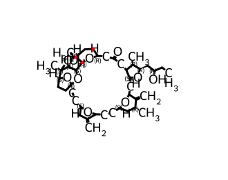 C=C1C[C@@H]2CC[C@]34CC[C@H](O3)[C@]3(C)O[C@H]5CC[C@H](CC(=O)CC6[C@H](CC7O[C@@H](CCC1O2)C[C@@H](C)C7=C)O[C@H](C[C@H](O)CC)[C@@H]6C)O[C@@H]5[C@H](O4)[C@@H]3OC